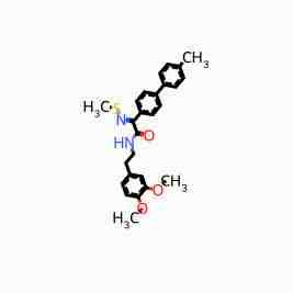 COc1ccc(CCNC(=O)C(=NSC)c2ccc(-c3ccc(C)cc3)cc2)cc1OC